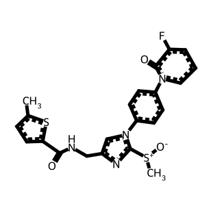 Cc1ccc(C(=O)NCc2cn(-c3ccc(-n4cccc(F)c4=O)cc3)c([S+](C)[O-])n2)s1